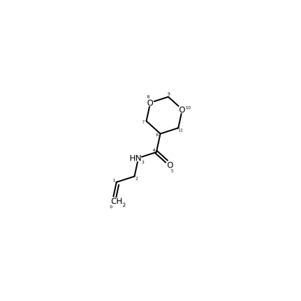 C=CCNC(=O)C1COCOC1